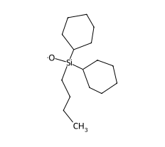 CCCC[Si]([O])(C1CCCCC1)C1CCCCC1